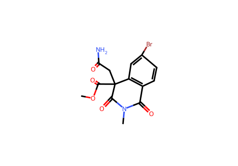 COC(=O)C1(CC(N)=O)C(=O)N(C)C(=O)c2ccc(Br)cc21